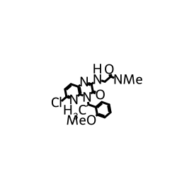 CNC(=O)CNc1nc2ccc(Cl)nc2n([C@@H](C)c2ccccc2OC)c1=O